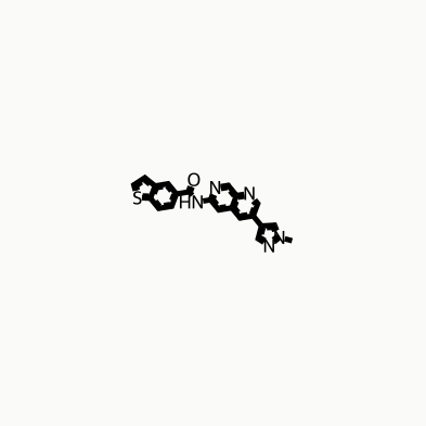 Cn1cc(-c2cnc3cnc(NC(=O)c4ccc5sccc5c4)cc3c2)cn1